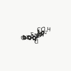 O=C(O)CC1=C2CCCN2CN1n1cc2c(Cl)cc(-c3ccc(N4CCOCC4)cc3)c(F)c2n1